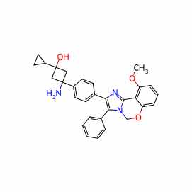 COc1cccc2c1-c1nc(-c3ccc(C4(N)CC(O)(C5CC5)C4)cc3)c(-c3ccccc3)n1CO2